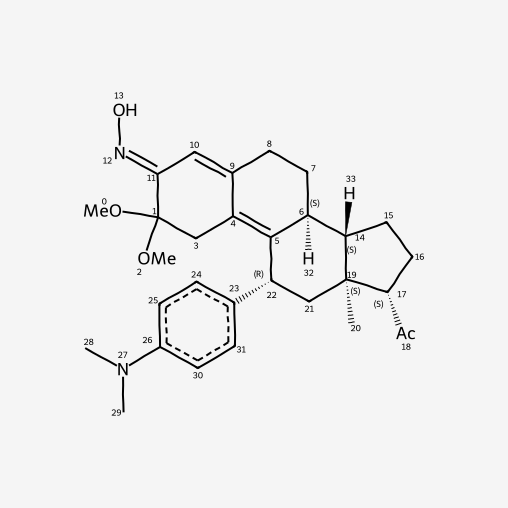 COC1(OC)CC2=C3[C@@H](CCC2=CC1=NO)[C@@H]1CC[C@H](C(C)=O)[C@@]1(C)C[C@@H]3c1ccc(N(C)C)cc1